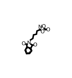 O=C1c2ccccc2C(=O)N1CCCCCc1noc(=O)o1